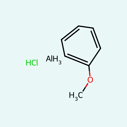 COc1ccccc1.Cl.[AlH3]